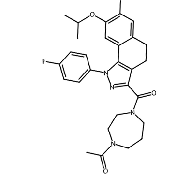 COc1cc2c(cc1OC(C)C)-c1c(c(C(=O)N3CCCN(C(C)=O)CC3)nn1-c1ccc(F)cc1)CC2